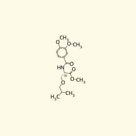 COC(=O)[C@H](COCC(C)C)NC(=O)c1ccc(OC)c(OC)c1